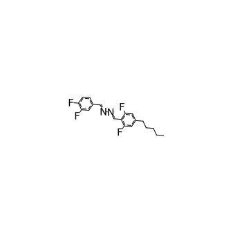 CCCCCc1cc(F)c(/C=N/N=C/c2ccc(F)c(F)c2)c(F)c1